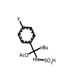 CCCCC(NS(=O)(=O)O)(OC(C)=O)c1ccc(F)cc1